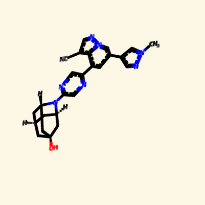 Cn1cc(-c2cc(-c3cnc(N4[C@@H]5C[C@@H]6C[C@H]4C[C@@](O)(C6)C5)cn3)c3c(C#N)cnn3c2)cn1